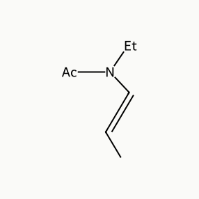 CC=CN(CC)C(C)=O